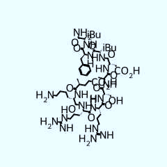 CC[C@H](C)[C@H](NC(=O)[C@H](Cc1ccccc1)NC(=O)[C@@H](NC(=O)[C@H](CC(=O)O)NC(=O)[C@H](C)NC(=O)[C@H](CO)NC(=O)[C@H](CCCNC(=N)N)NC(=O)[C@H](CCCNC(=N)N)NC(=O)[C@H](CCCCN)NC(=O)[C@@H](C)CCC(=O)O)[C@@H](C)CC)C(N)=O